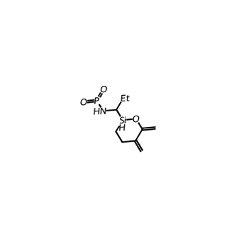 C=C1CC[SiH](C(CC)NP(=O)=O)OC1=C